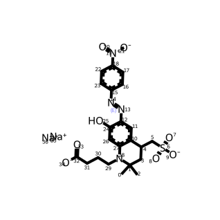 CC1(C)CC(CS(=O)(=O)[O-])c2cc(/N=N/c3ccc([N+](=O)[O-])cc3)c(O)cc2N1CCCC(=O)[O-].[Na+].[Na+]